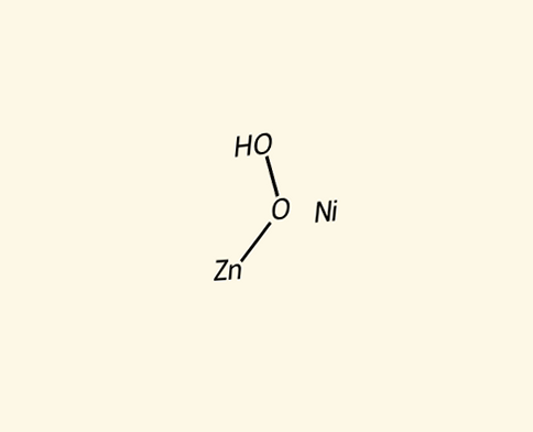 O[O][Zn].[Ni]